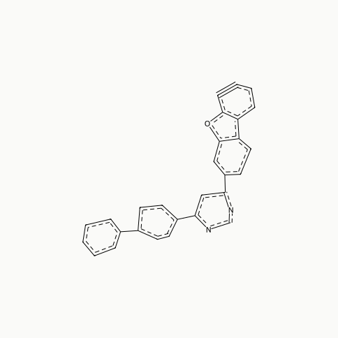 c1ccc2c(c#1)oc1cc(-c3cc(-c4ccc(-c5ccccc5)cc4)ncn3)ccc12